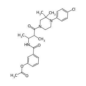 CC(=O)Oc1cccc(C(=O)NC(C)C(C)C(=O)N2CCN(c3ccc(Cl)cc3)C(C)(C)C2)c1